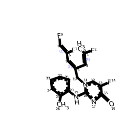 C\C(F)=C/C(=C\C(F)=C\F)Cn1cc(F)c(=O)nc1Nc1ccccc1C